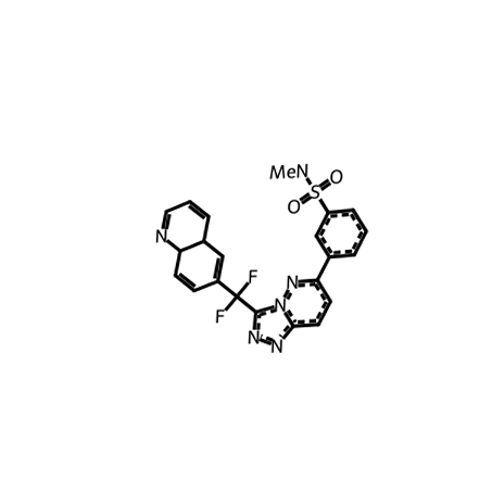 CNS(=O)(=O)c1cccc(-c2ccc3nnc(C(F)(F)C4=CC5C=CC=NC5C=C4)n3n2)c1